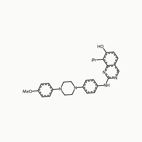 COc1ccc(N2CCN(c3ccc(Nc4ncc5ccc(O)c(C(C)C)c5n4)cc3)CC2)cc1